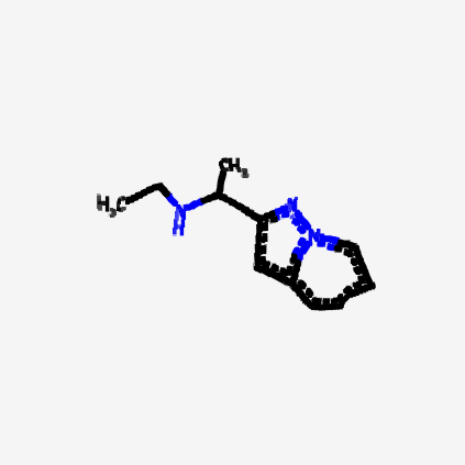 CCNC(C)c1cc2ccccn2n1